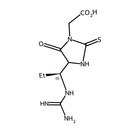 CC[C@H](NC(=N)N)C1NC(=S)N(CC(=O)O)C1=O